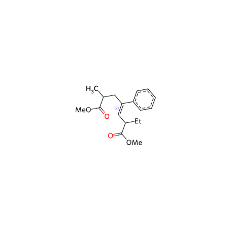 CCC(/C=C(/CC(C)C(=O)OC)c1ccccc1)C(=O)OC